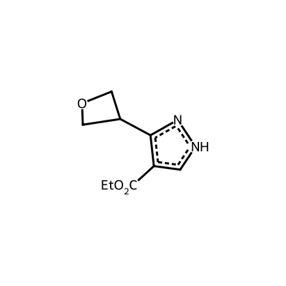 CCOC(=O)c1c[nH]nc1C1COC1